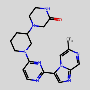 O=C1CN(C2CCCN(c3ccnc(-c4cnc5cnc(C(F)(F)F)cn45)n3)C2)CCN1